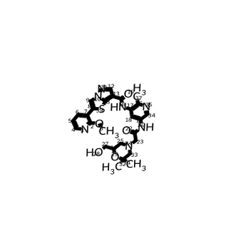 COc1ncccc1-c1cn2ncc(C(=O)Nc3cc(NC(=O)CN4CC(CO)OC(C)(C)C4)cnc3C)c2s1